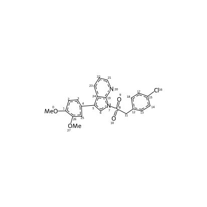 COc1ccc(-c2cn(S(=O)(=O)Cc3ccc(Cl)cc3)c3ncccc23)cc1OC